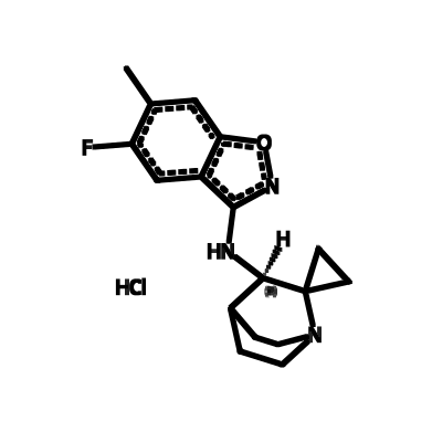 Cc1cc2onc(N[C@@H]3C4CCN(CC4)C34CC4)c2cc1F.Cl